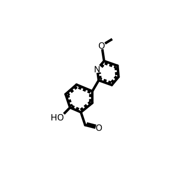 COc1cccc(-c2ccc(O)c(C=O)c2)n1